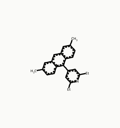 CCc1cc(-c2c3ccc(C)cc3cc3cc(C)ccc23)cc(CC)n1